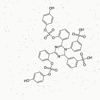 O=S(=O)(Oc1ccc(O)cc1)Oc1ccccc1C1=NC(c2cccc(S(=O)(=O)O)c2)N(c2cccc(S(=O)(=O)O)c2)C(c2ccccc2OS(=O)(=O)Oc2ccc(O)cc2)=N1